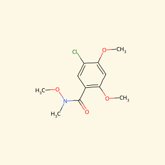 COc1cc(OC)c(C(=O)N(C)OC)cc1Cl